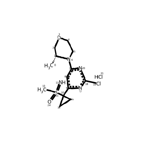 C[C@@H]1COCCN1c1cc(C2(S(C)(=N)=O)CC2)nc(Cl)n1.Cl